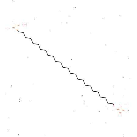 O=P(O)(O)CCCCCCCCCCCCCCCCCCCCCCCCCCOP(=O)(O)O